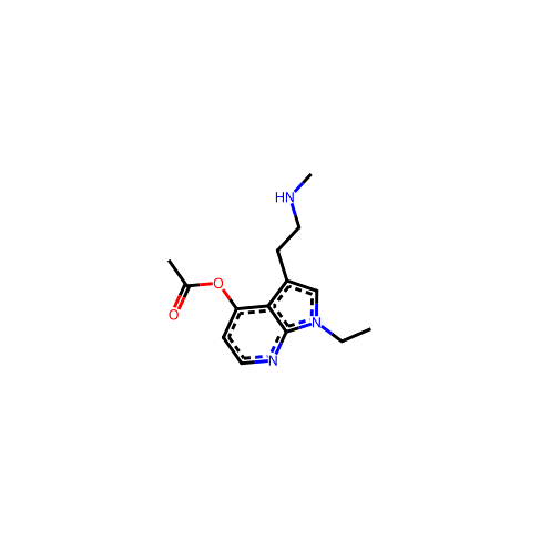 CCn1cc(CCNC)c2c(OC(C)=O)ccnc21